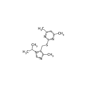 Cc1cc(C)nc(SCc2c(C)ncn2C(C)C)n1